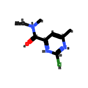 CON(C)C(=O)c1cc(C)nc(Cl)n1